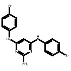 Nc1nc(Nc2ccc(Br)cc2)cc(Nc2ccc(Br)cc2)n1